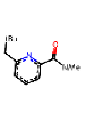 CNC(=O)c1cccc(CC(C)(C)C)n1